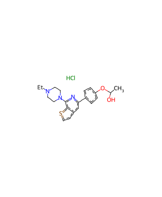 CCN1CCN(c2nc(-c3ccc(OC(C)O)cc3)cc3ccsc23)CC1.Cl